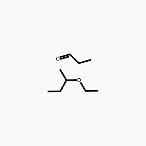 CCC=O.CCOC(C)CC